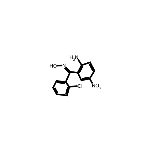 Nc1ccc([N+](=O)[O-])cc1C(=NO)c1ccccc1Cl